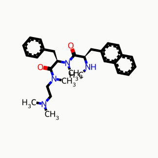 CN[C@H](Cc1ccc2ccccc2c1)C(=O)N(C)[C@H](Cc1ccccc1)C(=O)N(C)CCN(C)C